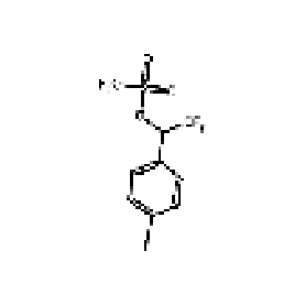 O=S(=O)(OC(c1ccc(F)cc1)C(F)(F)F)C(F)(F)F